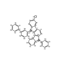 Clc1ccc2c(c1)c1ccc3c(c4ccccc4n3-c3ccccc3)c1n2-c1cccc(-c2ccccc2)c1